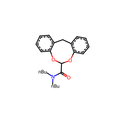 CCCCN(CCCC)C(=O)C1Oc2ccccc2Cc2ccccc2O1